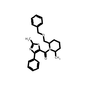 Cc1nc(-c2ccccc2)c(C(=O)N2C(C)CCCC2COCc2ccccc2)s1